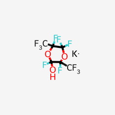 OC1(F)OC(F)(C(F)(F)F)C(F)(F)OC1(F)C(F)(F)F.[K]